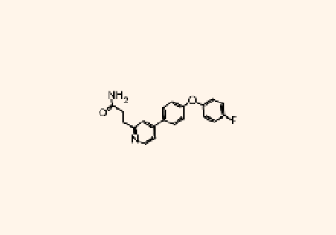 NC(=O)CCc1cc(-c2ccc(Oc3ccc(F)cc3)cc2)ccn1